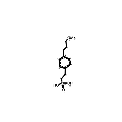 COCCCc1ccc(CCP(=O)(O)O)cc1